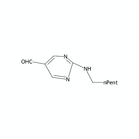 CCCCCCNc1ncc(C=O)cn1